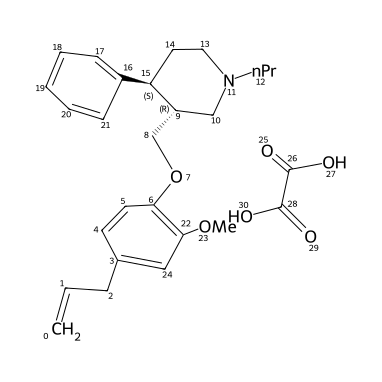 C=CCc1ccc(OC[C@H]2CN(CCC)CC[C@@H]2c2ccccc2)c(OC)c1.O=C(O)C(=O)O